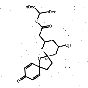 CCCCCCCCCCC(CCCCCCCCCC)OC(=O)CC1CC(O)C[C@@]2(CCC3(C=CC(=O)C=C3)O2)O1